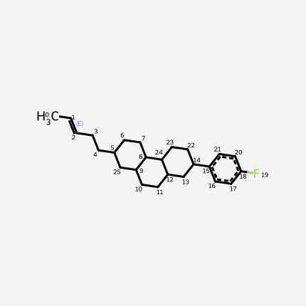 C/C=C/CCC1CCC2C(CCC3CC(c4ccc(F)cc4)CCC32)C1